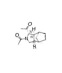 CC(=O)[C@@H]1[C@H]2C3CCC(C3)[C@H]2CN1C(C)=O